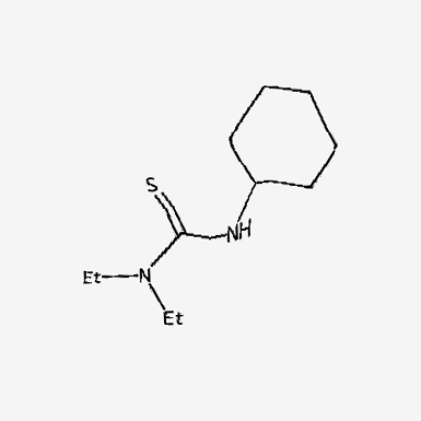 CCN(CC)C(=S)NC1CCCCC1